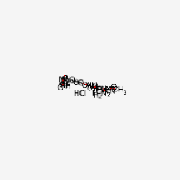 C[C@@H]1OCC2(CCN(c3cnc(Sc4cccc(NC(=O)CCC(=O)NCCOCCOCCOCCOCCNc5cccc6cnn(C7CCC(=O)NC7=O)c(=O)c56)c4Cl)c(N)n3)CC2)[C@@H]1N.Cl